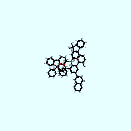 Cc1ccccc1-c1cc(-c2ccc3ccccc3c2)cc(-c2ccccc2C)c1N(c1ccc2c(c1)C(C)(C)c1ccccc1-2)c1ccc2c(c1)C(c1ccccc1)(c1ccccc1)c1ccccc1-2